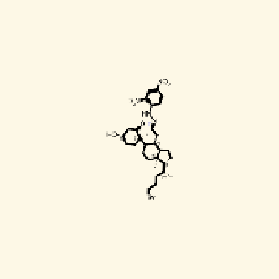 CC(C)CCC[C@@H](C)[C@H]1CCC2[C@H](C/C=N/Nc3ccc([N+](=O)[O-])cc3[N+](=O)[O-])C([C@@]3(C)CC[C@H](O)CC3=O)CC[C@@]21C